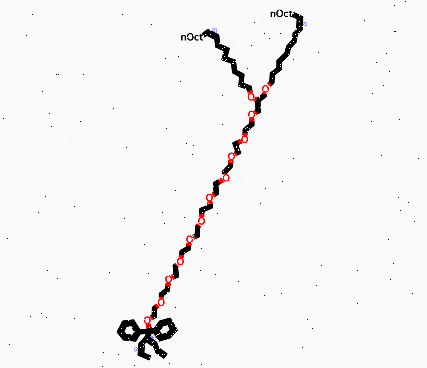 C=C/C=C(\C=C/C)C(OCCOCCOCCOCCOCCOCCOCCOCCOCCOCCOCC(COCCCCCCCC/C=C\CCCCCCCC)OCCCCCCCC/C=C\CCCCCCCC)(c1ccccc1)c1ccccc1